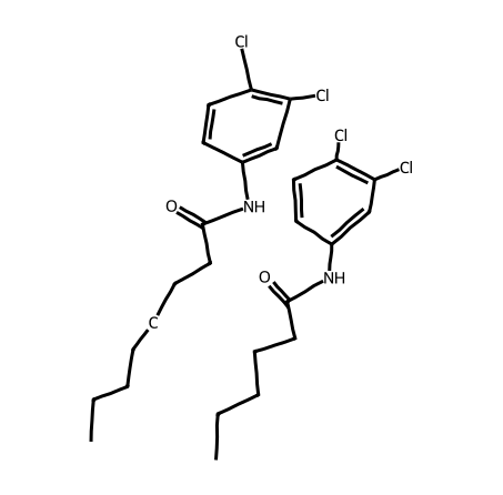 CCCCCC(=O)Nc1ccc(Cl)c(Cl)c1.CCCCCCCC(=O)Nc1ccc(Cl)c(Cl)c1